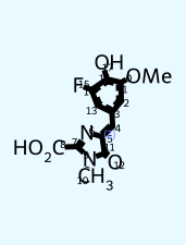 COc1cc(/C=C2\N=C(C(=O)O)N(C)C2=O)cc(F)c1O